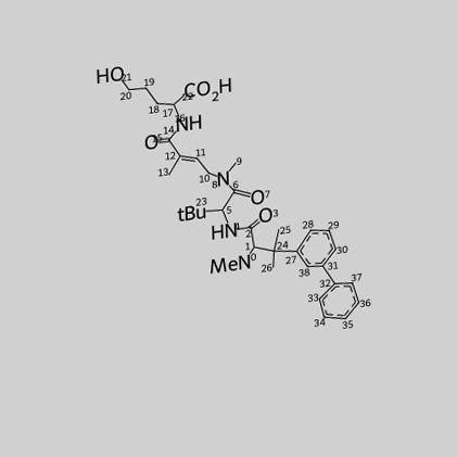 CNC(C(=O)NC(C(=O)N(C)C/C=C(\C)C(=O)NC(CCCO)C(=O)O)C(C)(C)C)C(C)(C)c1cccc(-c2ccccc2)c1